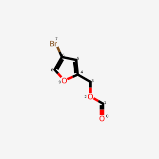 O=COCc1cc(Br)co1